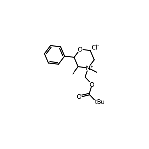 CC1C(c2ccccc2)OCC[N+]1(C)COC(=O)C(C)(C)C.[Cl-]